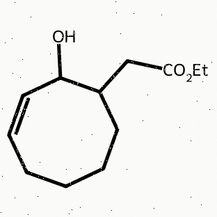 CCOC(=O)CC1CCCC/C=C\C1O